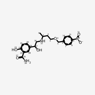 CC(CCOCc1ccc([N+](=O)[O-])cc1)NCC(O)c1ccc(O)c(C(N)=O)c1